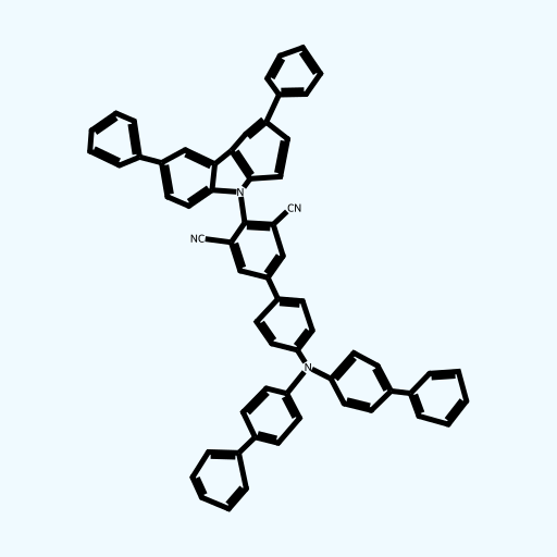 N#Cc1cc(-c2ccc(N(c3ccc(-c4ccccc4)cc3)c3ccc(-c4ccccc4)cc3)cc2)cc(C#N)c1-n1c2ccc(-c3ccccc3)cc2c2cc(-c3ccccc3)ccc21